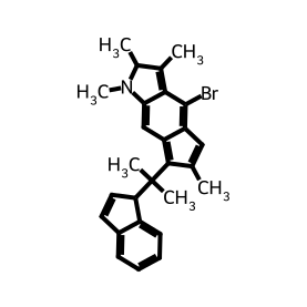 CC1=Cc2c(Br)c3c(cc2=C1C(C)(C)C1C=Cc2ccccc21)N(C)C(C)C=3C